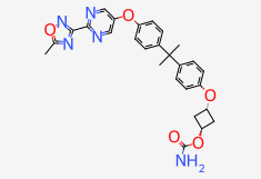 Cc1nc(-c2ncc(Oc3ccc(C(C)(C)c4ccc(O[C@H]5C[C@H](OC(N)=O)C5)cc4)cc3)cn2)no1